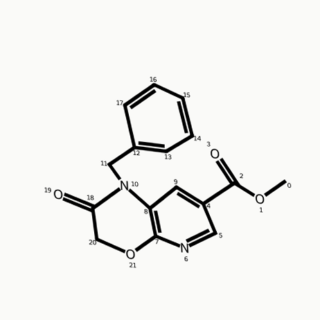 COC(=O)c1cnc2c(c1)N(Cc1ccccc1)C(=O)CO2